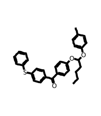 CCCCC(Oc1ccc(C)cc1)Oc1ccc(C(=O)c2ccc(Sc3ccccc3)cc2)cc1